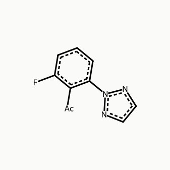 CC(=O)c1c(F)cccc1-n1nccn1